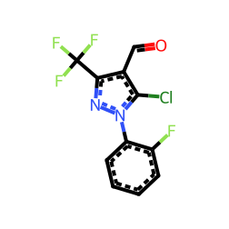 O=Cc1c(C(F)(F)F)nn(-c2ccccc2F)c1Cl